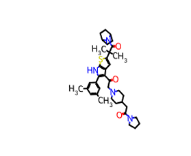 Cc1cc(C)cc(-c2[nH]c3sc(C(C)(C)C(=O)N4C5CCC4CC5)cc3c2C(=O)CN2CCC(CC(=O)N3CCCC3)CC2)c1